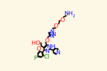 NCCOCCOCCn1cc(COCC2=C(C(=O)CO)C(c3ccc(F)cc3Cl)N=C(c3ccncc3)N2)nn1